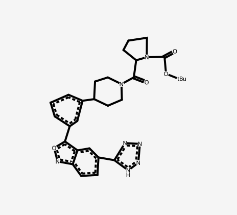 CC(C)(C)OC(=O)N1CCCC1C(=O)N1CCC(c2cccc(-c3onc4ccc(-c5nnn[nH]5)cc34)c2)CC1